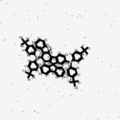 CC(C)(C)c1ccc(N(c2ccc(C(C)(C)C)cc2)c2ccc3c(c2)C2(C4=C3c3oc5ccccc5c3C(N(c3ccc(C(C)(C)C)cc3)c3ccc(C(C)(C)C)cc3)C4)c3ccccc3-c3ccccc32)cc1